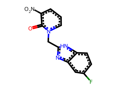 O=c1c([N+](=O)[O-])cccn1Cc1nc2cc(F)ccc2[nH]1